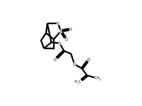 C=C(C)C(=O)OCC(=O)OC1C2CC3C1OS(=O)(=O)C3C2